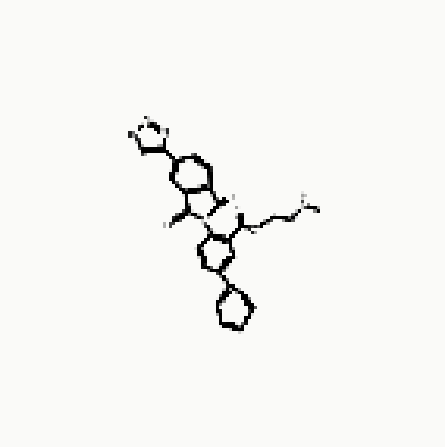 CNCCOC(=O)c1cc(-c2ccccc2)ccc1N1C(=O)c2ccc(-c3c[nH]nn3)cc2C1=O